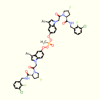 CC(=O)c1cn(CC(=O)N2C[C@H](F)C[C@H]2C(=O)NCc2cccc(Cl)c2F)c2ccc(OOP(C)(=O)OOc3ccc4c(c3)c(C(C)=O)cn4CC(=O)N3C[C@H](F)C[C@H]3C(=O)NCc3cccc(Cl)c3F)cc12